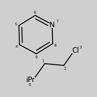 CC(C)CCCl.c1ccncc1